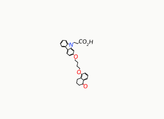 O=C(O)CCn1c2ccccc2c2ccc(OCCCCOc3cccc4c3CCCC4=O)cc21